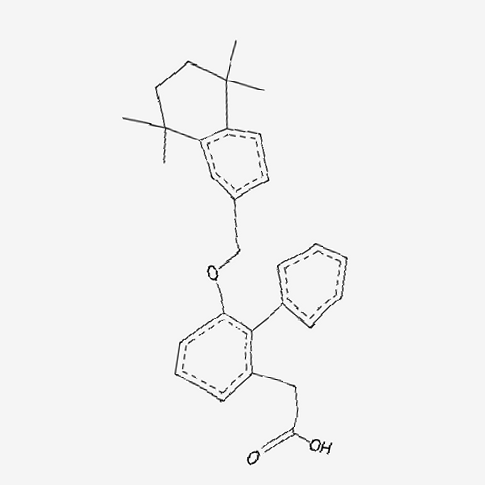 CC1(C)CCC(C)(C)c2cc(COc3cccc(CC(=O)O)c3-c3ccccc3)ccc21